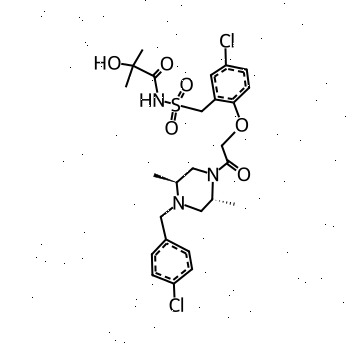 C[C@@H]1CN(Cc2ccc(Cl)cc2)[C@@H](C)CN1C(=O)COc1ccc(Cl)cc1CS(=O)(=O)NC(=O)C(C)(C)O